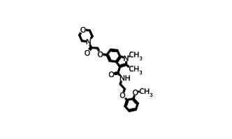 COc1ccccc1OCCNC(=O)c1c(C)n(C)c2ccc(OCC(=O)N3CCOCC3)cc12